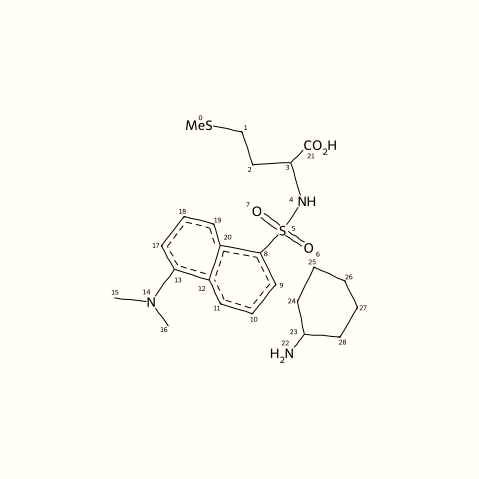 CSCCC(NS(=O)(=O)c1cccc2c(N(C)C)cccc12)C(=O)O.NC1CCCCC1